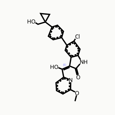 COc1cccc(/C(O)=C2\C(=O)Nc3cc(Cl)c(-c4ccc(C5(CO)CC5)cc4)cc32)n1